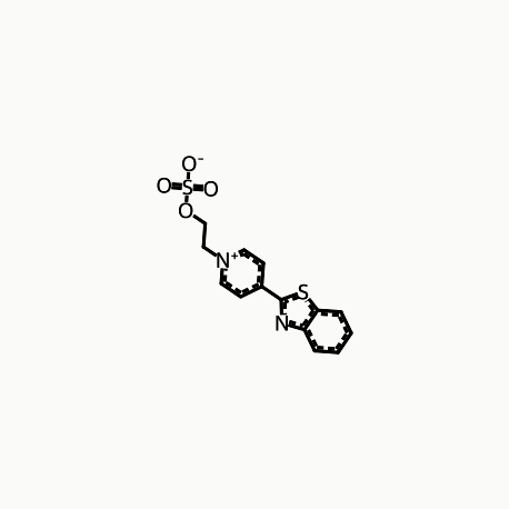 O=S(=O)([O-])OCC[n+]1ccc(-c2nc3ccccc3s2)cc1